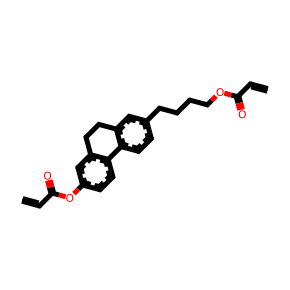 C=CC(=O)OCCCCc1ccc2c(c1)CCc1cc(OC(=O)C=C)ccc1-2